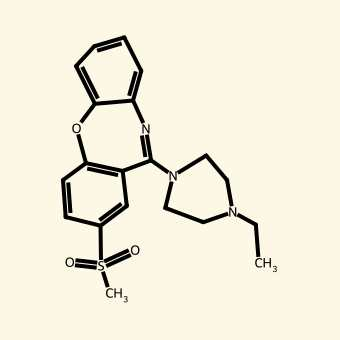 CCN1CCN(C2=Nc3ccccc3Oc3ccc(S(C)(=O)=O)cc32)CC1